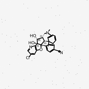 CN(C)C[C@H]1[C@@H](O)[C@@]2(O)c3ncc(Cl)cc3O[C@@]2(c2ccc(C#N)cc2)[C@@H]1C1(C)C=CC=CC1